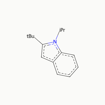 CC(C)n1c(C(C)(C)C)cc2ccccc21